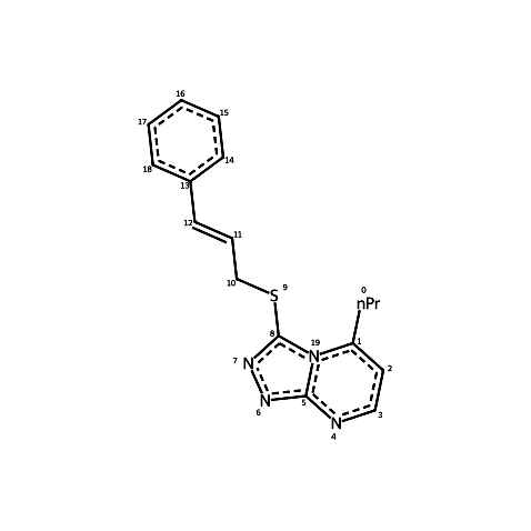 CCCc1ccnc2nnc(SC/C=C/c3ccccc3)n12